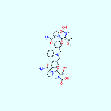 CO[C@H](C)[C@@H](C(=O)N1CCC[C@@]1(C(N)=O)c1ccc(CN(Cc2ccc([C@]3(C(N)=O)CCCN3C(=O)[C@H]([C@@H](C)OC)N(C)C(=O)O)cc2)c2ccccc2)cc1)N(C)C(=O)O